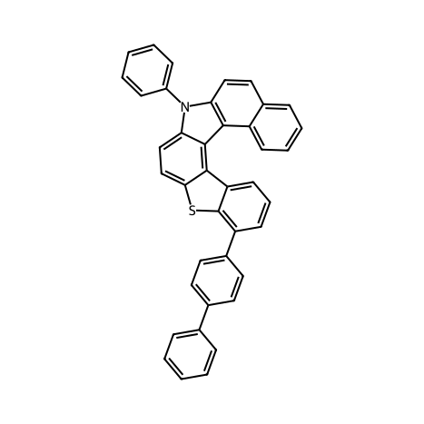 c1ccc(-c2ccc(-c3cccc4c3sc3ccc5c(c34)c3c4ccccc4ccc3n5-c3ccccc3)cc2)cc1